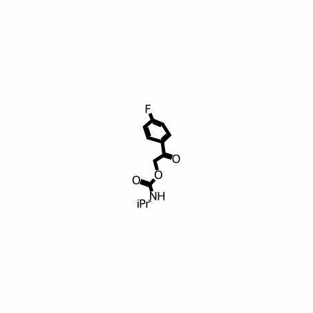 CC(C)NC(=O)OCC(=O)c1ccc(F)cc1